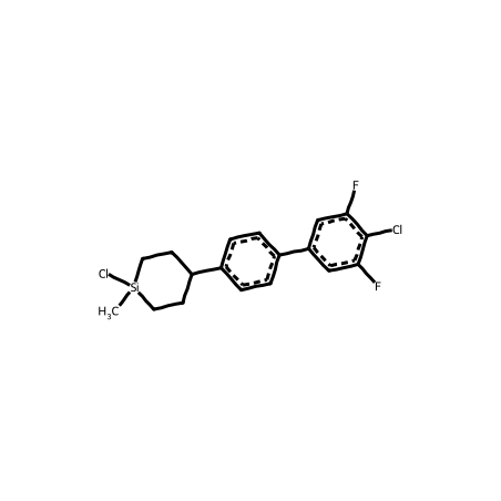 C[Si]1(Cl)CCC(c2ccc(-c3cc(F)c(Cl)c(F)c3)cc2)CC1